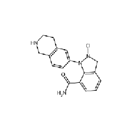 NC(=O)c1cccc2c1N(c1ccc3c(c1)CCNC3)N(Cl)C2